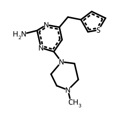 CN1CCN(c2cc(Cc3ccsc3)nc(N)n2)CC1